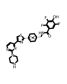 O=C(NC[C@]12CC[C@](c3nc(-c4ccnc(N5CCNCC5)n4)cs3)(CC1)CC2)c1cc(F)c(O)c(F)c1F